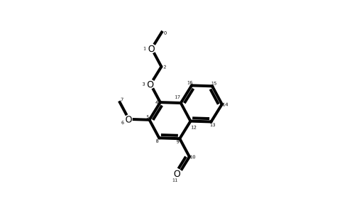 COCOc1c(OC)cc(C=O)c2ccccc12